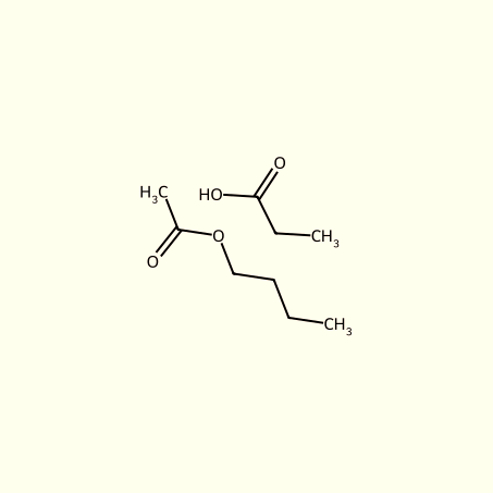 CCC(=O)O.CCCCOC(C)=O